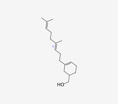 CC(C)=CCC/C(C)=C/CCC1=CCCC(CO)C1